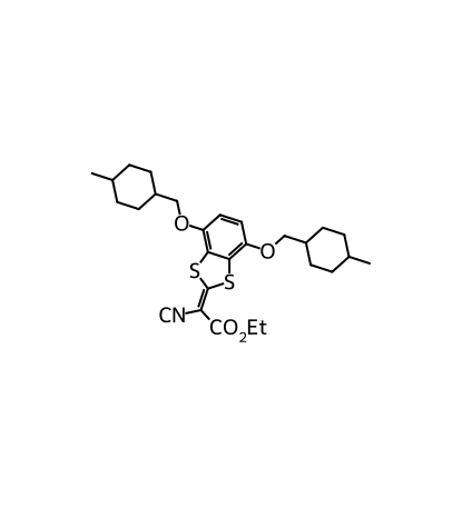 [C-]#[N+]C(C(=O)OCC)=C1Sc2c(OCC3CCC(C)CC3)ccc(OCC3CCC(C)CC3)c2S1